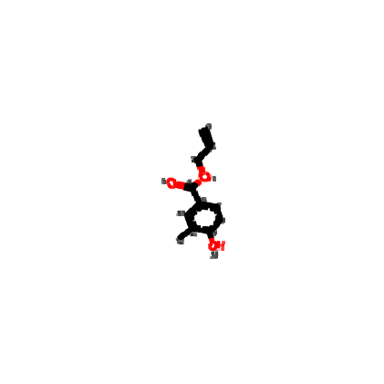 C=CCOC(=O)c1ccc(O)c(C)c1